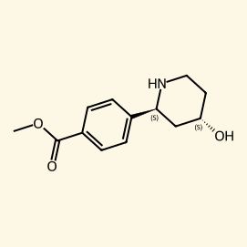 COC(=O)c1ccc([C@@H]2C[C@@H](O)CCN2)cc1